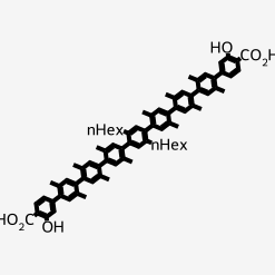 CCCCCCc1cc(-c2cc(C)c(-c3cc(C)c(-c4cc(C)c(-c5ccc(C(=O)O)c(O)c5)cc4C)cc3C)cc2C)c(CCCCCC)cc1-c1cc(C)c(-c2cc(C)c(-c3cc(C)c(-c4ccc(C(=O)O)c(O)c4)cc3C)cc2C)cc1C